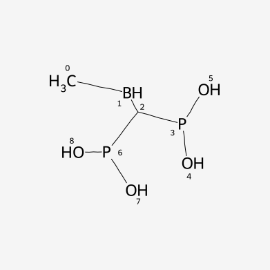 CBC(P(O)O)P(O)O